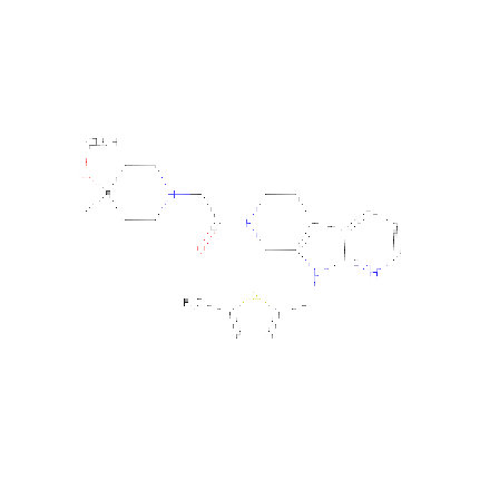 CC1(OC(=O)O)CCN(CC(=O)N2CCc3c(n(Cc4ccc(C(F)(F)F)s4)c4ncccc34)C2)CC1